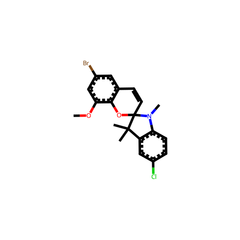 COc1cc(Br)cc2c1OC1(C=C2)N(C)c2ccc(Cl)cc2C1(C)C